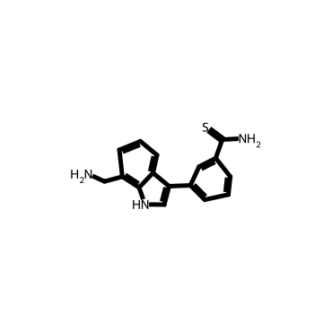 NCc1cccc2c(-c3cccc(C(N)=S)c3)c[nH]c12